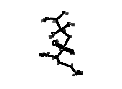 CCCN(CCC(C)(C)C)S(=O)(=O)CC(F)(F)C(F)F